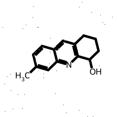 Cc1ccc2cc3c(nc2c1)C(O)CCC3